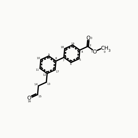 COC(=O)c1ccc(-c2cccc(CCC=O)c2)cc1